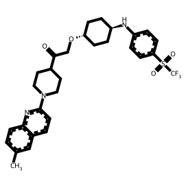 Cc1ccc2nc(N3CCC(C(=O)CO[C@H]4CC[C@H](Nc5ccc(S(=O)(=O)C(F)(F)F)cc5)CC4)CC3)ccc2c1